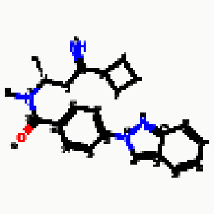 C[C@H](CC(=N)C1CCC1)N(C)C(=O)c1ccc(-n2cc3ccccc3n2)cc1